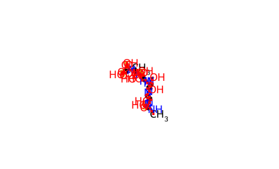 CCCNc1ccc(S(=O)(=O)O)c(N=Nc2ccc3cc(N=Nc4ccc5c(N=Nc6ccc7c(O)c(N=Nc8cc(C)c(N=Nc9cc(S(=O)(=O)O)cc%10cc(S(=O)(=O)O)cc(O)c9%10)cc8OCCO)c(S(=O)(=O)O)cc7c6)c(NCCO)ccc5c4O)ccc3c2O)c1